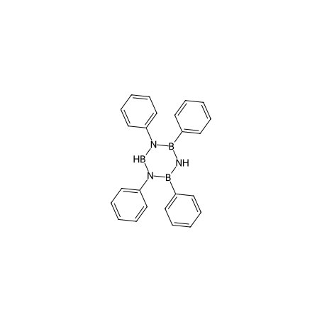 B1N(c2ccccc2)B(c2ccccc2)NB(c2ccccc2)N1c1ccccc1